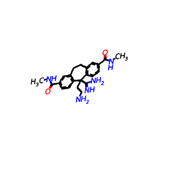 CNC(=O)c1ccc2c(c1)CCc1cc(C(=O)NC)ccc1C2(CCN)C(=N)N